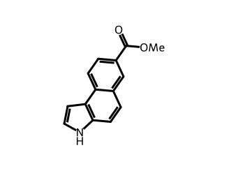 COC(=O)c1ccc2c(ccc3[nH]ccc32)c1